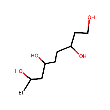 CCC(O)CC(O)CCC(O)CCO